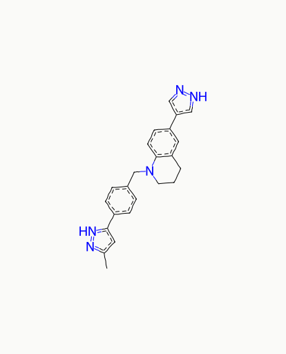 Cc1cc(-c2ccc(CN3CCCc4cc(-c5cn[nH]c5)ccc43)cc2)[nH]n1